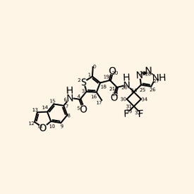 Cc1sc(C(=O)Nc2ccc3occc3c2)c(C)c1C(=O)C(=O)NC1(c2c[nH]nn2)CC(F)(F)C1